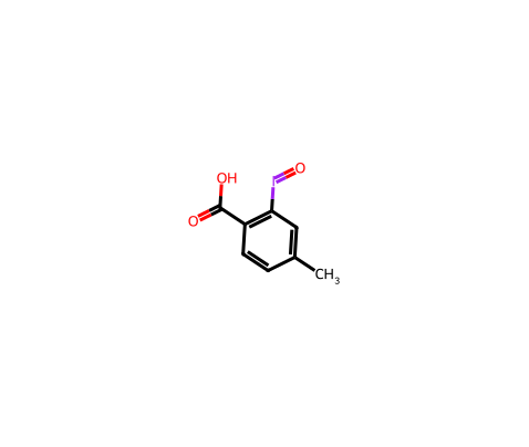 Cc1ccc(C(=O)O)c(I=O)c1